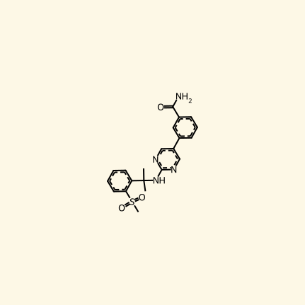 CC(C)(Nc1ncc(-c2cccc(C(N)=O)c2)cn1)c1ccccc1S(C)(=O)=O